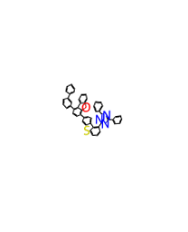 c1ccc(-c2cccc(-c3ccc(-c4ccc5c(c4)sc4cccc(-c6nc(-c7ccccc7)nc(-c7ccccc7)n6)c45)c4oc5ccccc5c34)c2)cc1